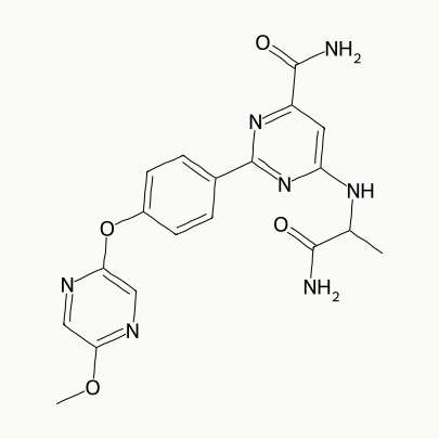 COc1cnc(Oc2ccc(-c3nc(NC(C)C(N)=O)cc(C(N)=O)n3)cc2)cn1